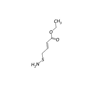 CCOC(=O)C=CCSN